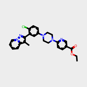 CCOC(=O)c1ccc(N2CCN(c3ccc(Cl)c(-c4nn5ccccc5c4C)c3)CC2)nc1